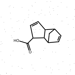 O=C(O)C1C=CC2C3C=CC(C3)C12